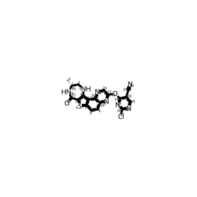 C[C@@H]1CNc2c(sc3ccc4nc(Oc5nc(Cl)ncc5C#N)cnc4c23)C(=O)N1